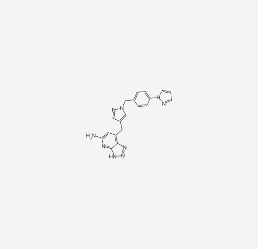 Nc1cc(Cc2cnn(Cc3ccc(-n4cccn4)cc3)c2)c2nn[nH]c2n1